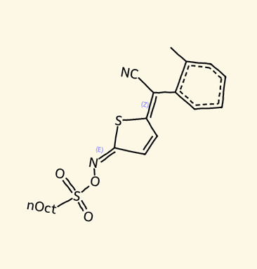 CCCCCCCCS(=O)(=O)O/N=C1C=C/C(=C(/C#N)c2ccccc2C)S\1